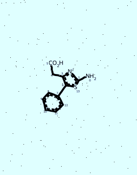 Nc1nc(CC(=O)O)c(-c2ccccc2)s1